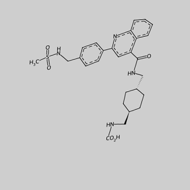 CS(=O)(=O)NCc1ccc(-c2cc(C(=O)NC[C@H]3CC[C@H](CNC(=O)O)CC3)c3ccccc3n2)cc1